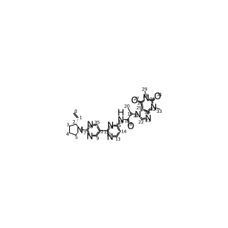 C=C[C@H]1CCCN1c1ncc(-c2nccc(NC(=O)C(C)n3cnc4c3c(=O)n(C)c(=O)n4C)n2)cn1